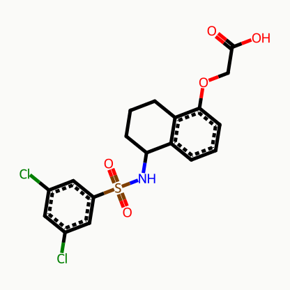 O=C(O)COc1cccc2c1CCCC2NS(=O)(=O)c1cc(Cl)cc(Cl)c1